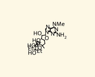 CCC(C)(CC1OC(n2cnc3c(NC)nc(N)nc32)[C@H](O)[C@@H]1O)OP(=O)(O)C(O)(CC)CC